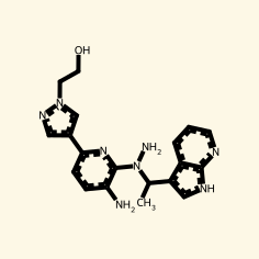 CC(c1c[nH]c2ncccc12)N(N)c1nc(-c2cnn(CCO)c2)ccc1N